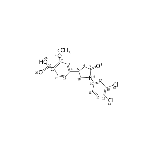 COc1cc(C2CC(=O)N(c3ccc(Cl)c(Cl)c3)C2)ccc1C(=O)O